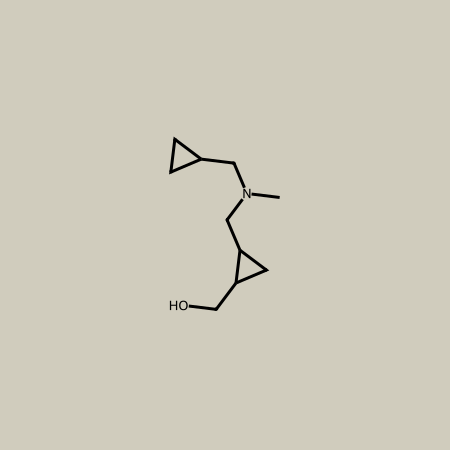 CN(CC1CC1)CC1CC1CO